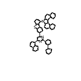 c1ccc(-c2cccc(-c3nc(-c4ccc5c(c4)sc4cccc(-n6c7ccc8ccccc8c7c7c8ccccc8ccc76)c45)cc(-c4cccc5ccccc45)n3)c2)cc1